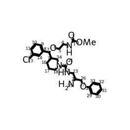 COC(=O)NCCOC(c1cccc(Cl)c1)C1CCCN(C(=O)NCC(N)COc2ccccc2)C1